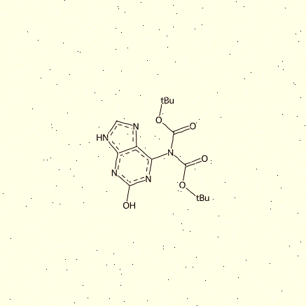 CC(C)(C)OC(=O)N(C(=O)OC(C)(C)C)c1nc(O)nc2[nH]cnc12